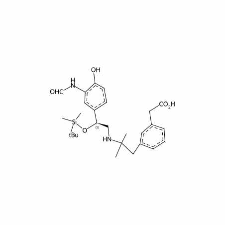 CC(C)(Cc1cccc(CC(=O)O)c1)NC[C@@H](O[Si](C)(C)C(C)(C)C)c1ccc(O)c(NC=O)c1